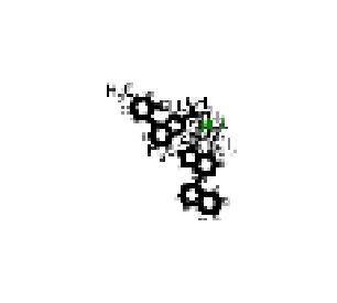 CC1=Cc2c(-c3cccc4ccccc34)ccc(C)c2[CH]1[Zr]([CH3])([CH3])(=[SiH2])[CH]1C(C(C)C)=Cc2c(-c3ccc(C)cc3C)cccc21.Cl.Cl